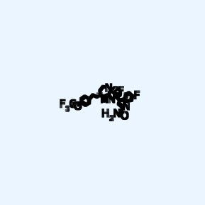 CC1=C(NC(=O)c2cc(C(N)=O)nc3cc(F)ccc23)C(C(F)(F)F)=NCC[C@@H]1CCc1ccc(OC(F)(F)F)cc1